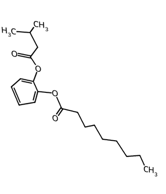 CCCCCCCCC(=O)Oc1ccccc1OC(=O)CC(C)C